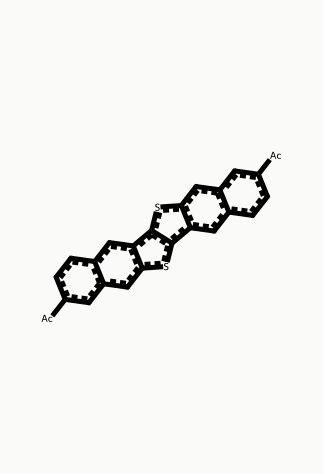 CC(=O)c1ccc2cc3c(cc2c1)sc1c2cc4ccc(C(C)=O)cc4cc2sc31